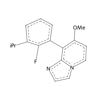 COc1ccn2ccnc2c1-c1cccc(C(C)C)c1F